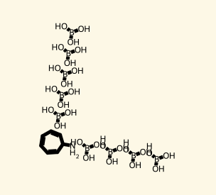 NC1C=CC=CC=C1.OB(O)O.OB(O)O.OB(O)O.OB(O)O.OB(O)O.OB(O)O.OB(O)O.OB(O)O.OB(O)O